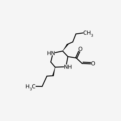 CCCC[C@H]1CN[C@@H](CCCC)C(C(=O)C=O)N1